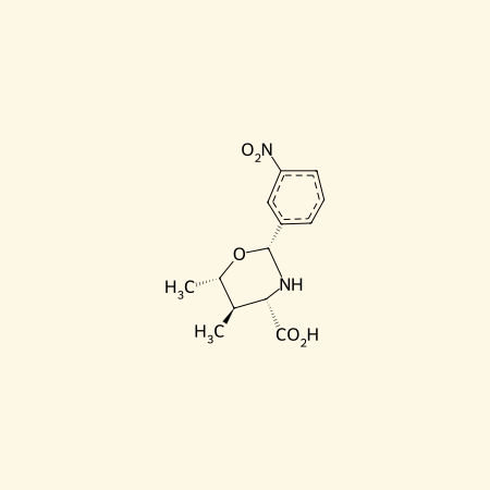 C[C@H]1[C@H](C)O[C@H](c2cccc([N+](=O)[O-])c2)N[C@@H]1C(=O)O